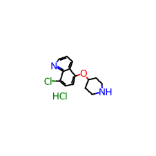 Cl.Clc1ccc(OC2CCNCC2)c2cccnc12